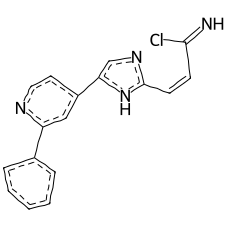 N=C(Cl)/C=C\c1ncc(-c2ccnc(-c3ccccc3)c2)[nH]1